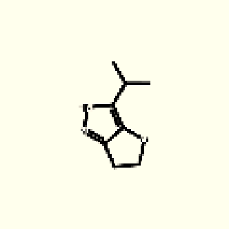 CC(C)c1[nH]nc2c1OCC2